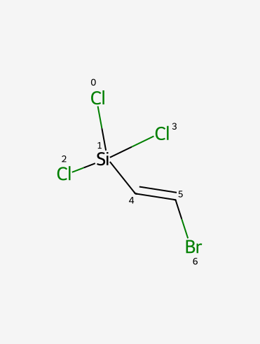 Cl[Si](Cl)(Cl)C=CBr